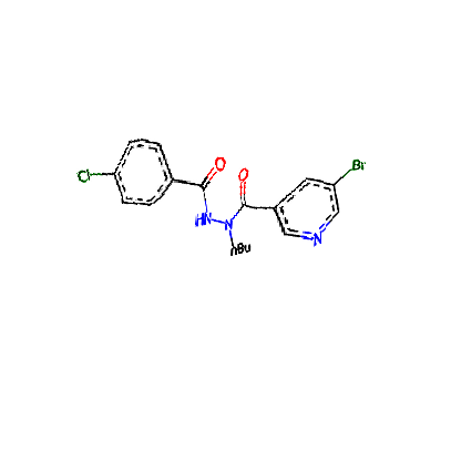 CCCCN(NC(=O)c1ccc(Cl)cc1)C(=O)c1cncc(Br)c1